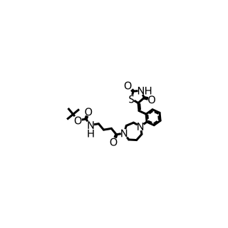 CC(C)(C)OC(=O)NCCCC(=O)N1CCCN(c2ccccc2C=C2SC(=O)NC2=O)CC1